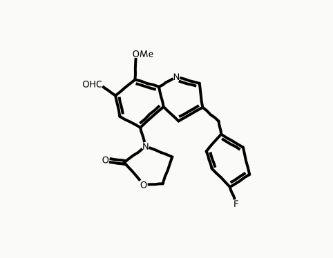 COc1c(C=O)cc(N2CCOC2=O)c2cc(Cc3ccc(F)cc3)cnc12